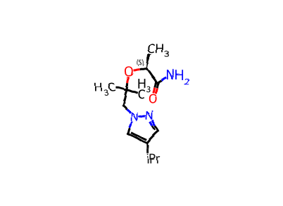 CC(C)c1cnn(CC(C)(C)O[C@@H](C)C(N)=O)c1